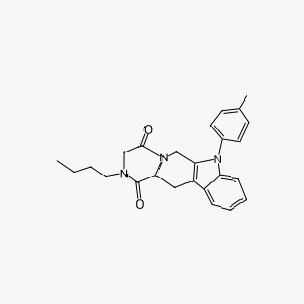 CCCCN1CC(=O)N2Cc3c(c4ccccc4n3-c3ccc(C)cc3)CC2C1=O